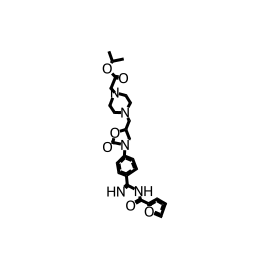 CC(C)OC(=O)CN1CCN(CC2CN(c3ccc(C(=N)NC(=O)c4ccco4)cc3)C(=O)O2)CC1